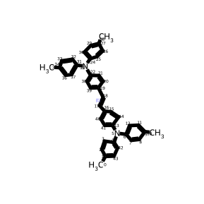 Cc1ccc(N(c2ccc(C)cc2)c2ccc(/C=C/c3ccc(N(c4ccc(C)cc4)c4ccc(C)cc4)cc3)cc2)cc1